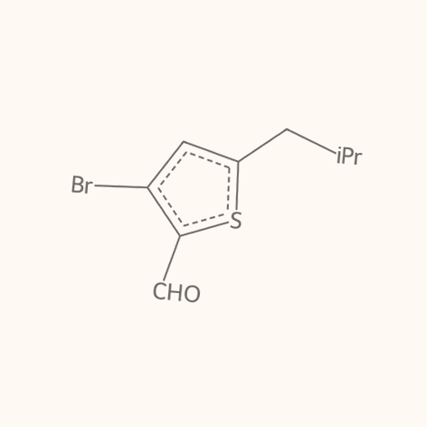 CC(C)Cc1cc(Br)c(C=O)s1